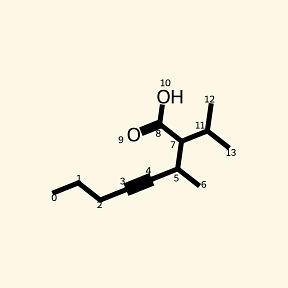 CCCC#CC(C)C(C(=O)O)C(C)C